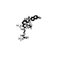 CC(C(=O)NCCONC(=N)N)c1ccc(NS(=O)(=O)c2ccc3cc(Br)ccc3c2)c(=O)n1OC(=O)C(F)(F)F